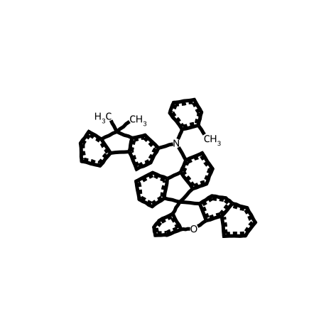 Cc1ccccc1N(c1ccc2c(c1)C(C)(C)c1ccccc1-2)c1cccc2c1-c1ccccc1C21c2ccccc2Oc2c1ccc1ccccc21